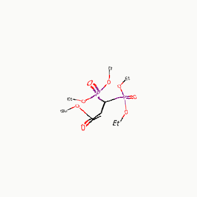 CCOP(=O)(OCC)C(CC(=O)OC(C)(C)C)P(=O)(OCC)OCC